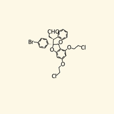 O=CC[C@@H](c1ccccc1)[C@]1(c2ccc(Br)cc2)Oc2cc(OCCCl)cc(OCCCl)c2C1=O